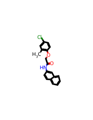 Cc1cc(Cl)ccc1OCC(=O)Nc1ccc2ccccc2c1